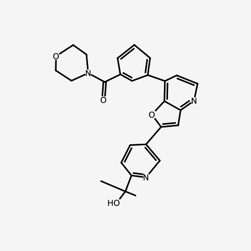 CC(C)(O)c1ccc(-c2cc3nccc(-c4cccc(C(=O)N5CCOCC5)c4)c3o2)cn1